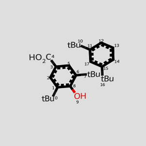 CC(C)(C)c1cc(C(=O)O)cc(C(C)(C)C)c1O.CC(C)(C)c1cccc(C(C)(C)C)c1